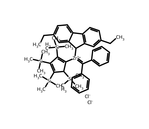 CCc1ccc2c(c1)[CH]([Zr+2]([C]1=C([Si](C)(C)C)C([Si](C)(C)C)=C([Si](C)(C)C)C1[Si](C)(C)C)=[C](c1ccccc1)c1ccccc1)c1cc(CC)ccc1-2.[Cl-].[Cl-]